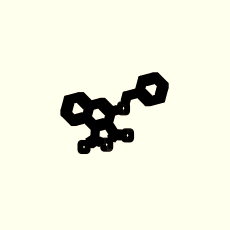 O=C1OC(=O)c2c1c(OCc1ccccc1)cc1ccccc21